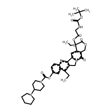 CCc1c2c(nc3ccc(OC(=O)N4CCC(N5CCCCC5)CC4)cc13)-c1cc3c(c(=O)n1C2)COC(=O)[C@@]3(CC)OC(=O)CNC(=O)OC(C)(C)C